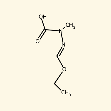 CCOC=NN(C)C(=O)O